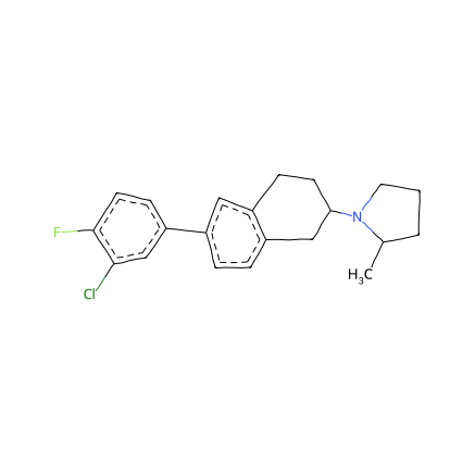 CC1CCCN1C1CCc2cc(-c3ccc(F)c(Cl)c3)ccc2C1